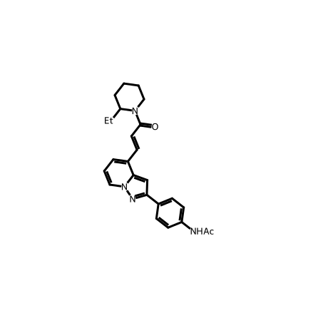 CCC1CCCCN1C(=O)C=Cc1cccn2nc(-c3ccc(NC(C)=O)cc3)cc12